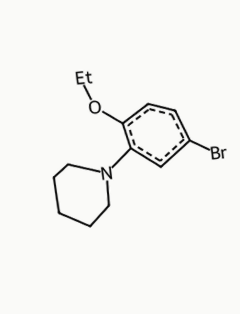 CCOc1ccc(Br)cc1N1CCCCC1